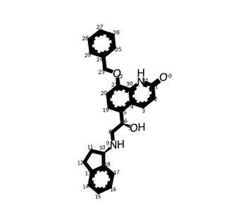 O=c1ccc2c([C@@H](O)CN[C@@H]3CCc4ccccc43)ccc(OCc3ccccc3)c2[nH]1